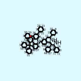 N=C(/C(=C1\NC(c2ccccc2)=Cc2cc(N(c3cc(-c4ccccc4)cc(-c4ccccc4)c3)c3cccc4c3-c3ccccc3C4(c3ccccc3)c3ccccc3)ccc21)c1ccccc1)c1ccccc1